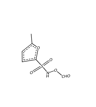 Cc1ccc(S(=O)(=O)NOC=O)o1